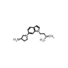 CN(C)CCn1ccc2ccc(N3CCC(N)C3)cc21